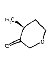 C[C@H]1CCOCC1=O